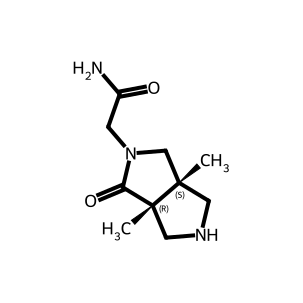 C[C@@]12CNC[C@]1(C)C(=O)N(CC(N)=O)C2